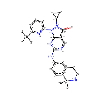 CC(C)(C)c1cccc(-n2c3nc(Nc4ccc5c(c4)CCNC5(C)C)ncc3c(=O)n2C2CC2)n1